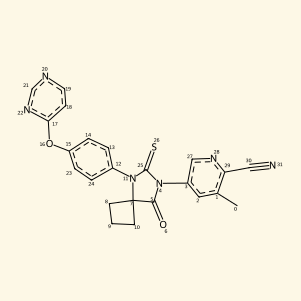 Cc1cc(N2C(=O)C3(CCC3)N(c3ccc(Oc4ccncn4)cc3)C2=S)cnc1C#N